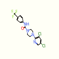 O=C(Nc1ccc(C(F)(F)F)cc1)N1CCN(c2ncc(Cl)cc2Cl)CC1